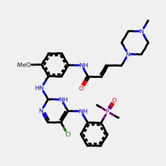 COc1ccc(NC(=O)/C=C/CN2CCN(C)CC2)cc1NC1N=CC(Cl)=C(Nc2ccccc2P(C)(C)=O)N1